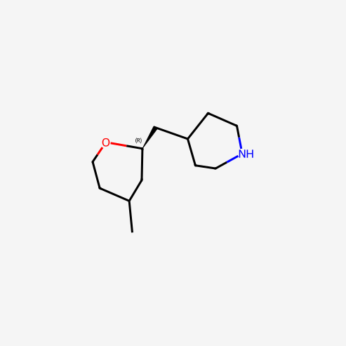 CC1CCO[C@@H](CC2CCNCC2)C1